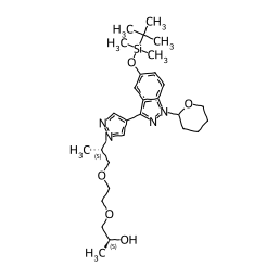 C[C@H](O)COCCOC[C@H](C)n1cc(-c2nn(C3CCCCO3)c3ccc(O[Si](C)(C)C(C)(C)C)cc23)cn1